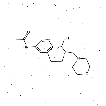 CC(=O)Nc1ccc2c(c1)CCC(CN1CCOCC1)C2O